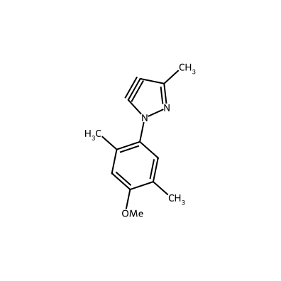 COc1cc(C)c(-n2c#cc(C)n2)cc1C